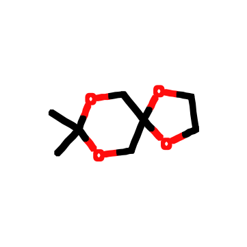 CC1(C)OCC2(CO1)OCCO2